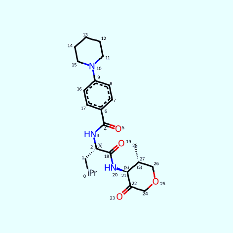 CC(C)C[C@H](NC(=O)c1ccc(N2CCCCC2)cc1)C(=O)N[C@@H]1C(=O)COC[C@H]1C